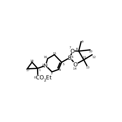 CCOC(=O)C1(N2CC=C(B3OC(C)(C)C(C)(C)O3)CC2)CC1